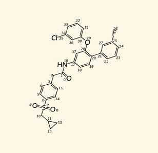 O=C(Cc1ccc(S(=O)(=O)CC2CC2)cc1)Nc1ccc(-c2cccc(F)c2)c(Oc2cccc(Cl)c2)c1